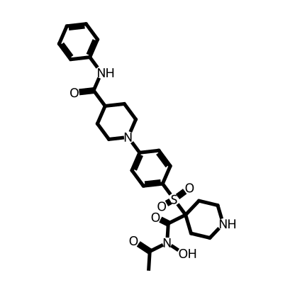 CC(=O)N(O)C(=O)C1(S(=O)(=O)c2ccc(N3CCC(C(=O)Nc4ccccc4)CC3)cc2)CCNCC1